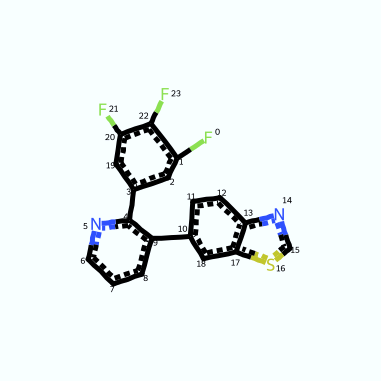 Fc1cc(-c2ncccc2-c2ccc3ncsc3c2)cc(F)c1F